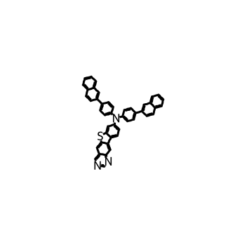 c1ccc2cc(-c3ccc(N(c4ccc(-c5ccc6ccccc6c5)cc4)c4ccc5c(c4)sc4cc6cncnc6cc45)cc3)ccc2c1